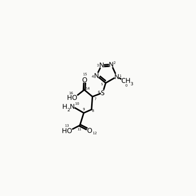 Cn1nnnc1SC(CC(N)C(=O)O)C(=O)O